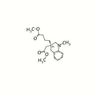 COC(=O)CCC[C@]1(CC(=O)OC)Cc2ccccc2N(C)C1